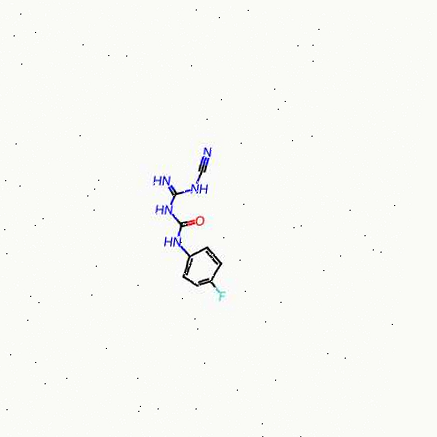 N#CNC(=N)NC(=O)Nc1ccc(F)cc1